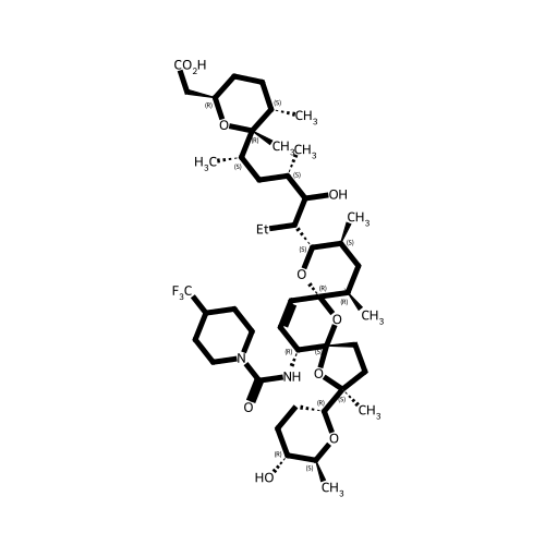 CCC(C(O)[C@@H](C)C[C@H](C)[C@]1(C)O[C@@H](CC(=O)O)CC[C@@H]1C)[C@H]1O[C@]2(C=C[C@@H](NC(=O)N3CCC(C(F)(F)F)CC3)[C@]3(CC[C@@](C)([C@H]4CC[C@@H](O)[C@H](C)O4)O3)O2)[C@H](C)C[C@@H]1C